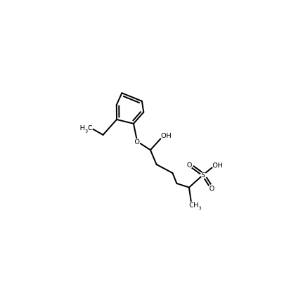 CCc1ccccc1OC(O)CCCC(C)S(=O)(=O)O